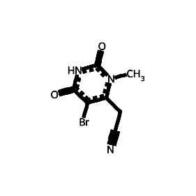 Cn1c(CC#N)c(Br)c(=O)[nH]c1=O